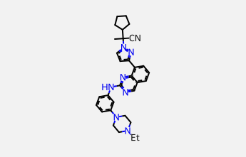 CCN1CCN(c2cccc(Nc3ncc4cccc(-c5ccn(C(C)(C#N)C6CCCC6)n5)c4n3)c2)CC1